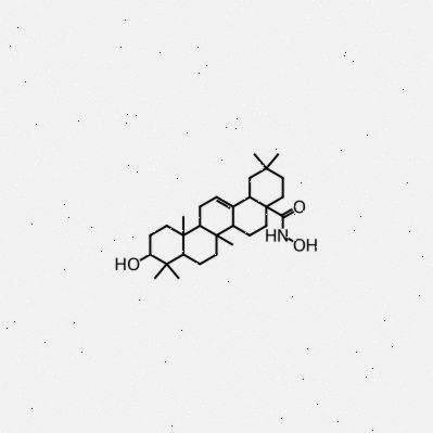 CC1(C)CCC2(C(=O)NO)CCC3C(=CCC4C3(C)CCC3C(C)(C)C(O)CCC34C)C2C1